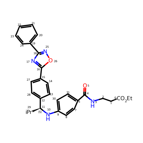 CCOC(=O)CCNC(=O)c1ccc(N[C@H](c2ccc(-c3nc(-c4ccccc4)no3)cc2)C(C)C)cc1